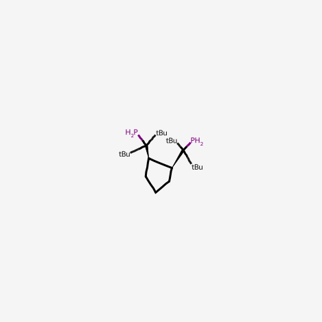 CC(C)(C)C(P)([C@@H]1CCC[C@@H]1C(P)(C(C)(C)C)C(C)(C)C)C(C)(C)C